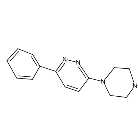 c1ccc(-c2ccc(N3CC[N]CC3)nn2)cc1